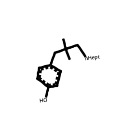 CCCCCCCCC(C)(C)Cc1ccc(O)cc1